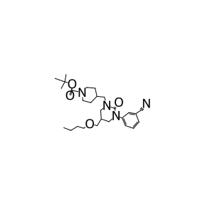 CCCCOCC1CN(CC2CCN(C(=O)OC(C)(C)C)CC2)C(=O)N(c2cccc(C#N)c2)C1